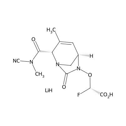 CC1=C[C@@H]2CN(C(=O)N2O[C@@H](F)C(=O)O)[C@@H]1C(=O)N(C)C#N.[LiH]